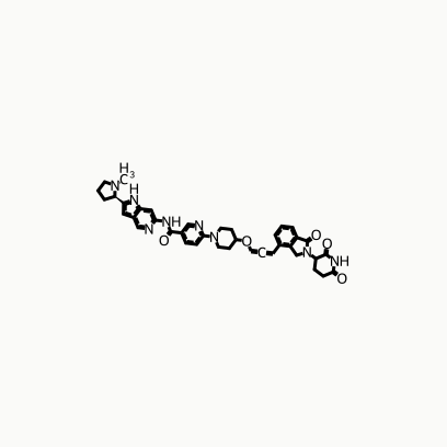 CN1CCC[C@@H]1c1cc2cnc(NC(=O)c3ccc(N4CCC(OC=C=Cc5cccc6c5CN(C5CCC(=O)NC5=O)C6=O)CC4)nc3)cc2[nH]1